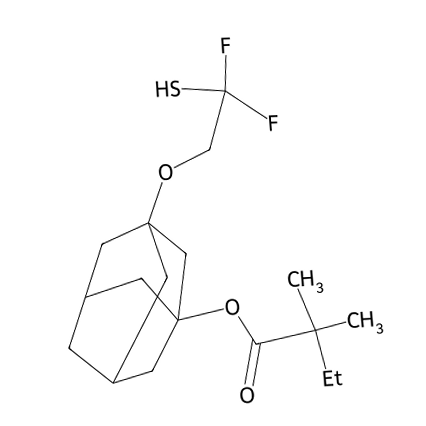 CCC(C)(C)C(=O)OC12CC3CC(CC(OCC(F)(F)S)(C3)C1)C2